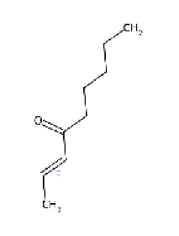 [CH2]CCCCC(=O)/C=C/C